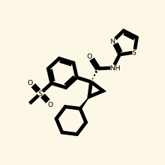 CS(=O)(=O)c1cccc([C@@]2(C(=O)Nc3nccs3)C[C@H]2C2CCCCC2)c1